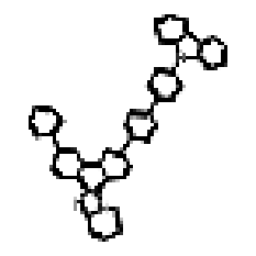 c1ccc(-c2ccc3c(c2)c2cc(-c4ccc(-c5ccc(-n6c7ccccc7c7ccccc76)cc5)cc4)ccc2c2c3nc3ccccn32)cc1